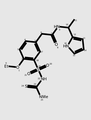 CCOc1ccc(CC(=O)NC(C)c2ccc[nH]2)cc1S(=O)(=O)NC(=S)NC